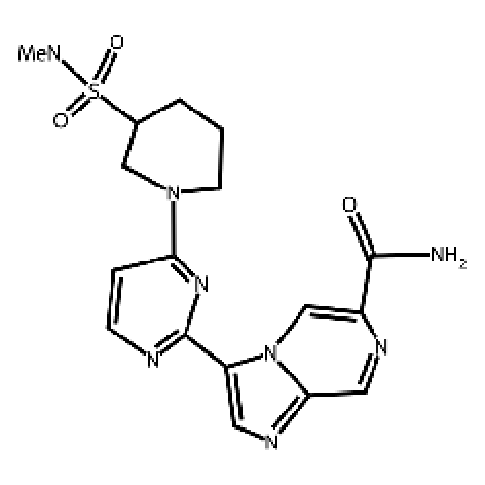 CNS(=O)(=O)C1CCCN(c2ccnc(-c3cnc4cnc(C(N)=O)cn34)n2)C1